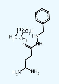 CC(=O)O.CC(=O)O.NC(N)CCC(=O)NNCc1ccccc1